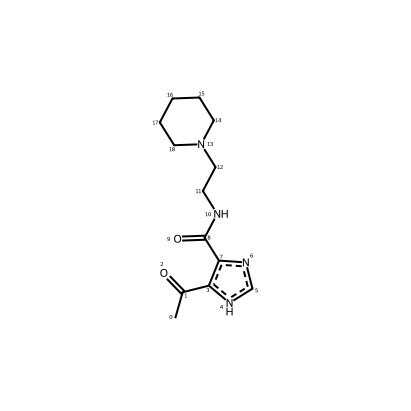 CC(=O)c1[nH]cnc1C(=O)NCCN1CCCCC1